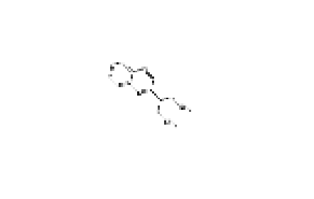 NCC(CN)c1cnc2ccccc2n1